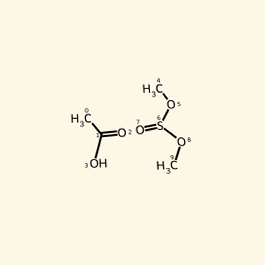 CC(=O)O.COS(=O)OC